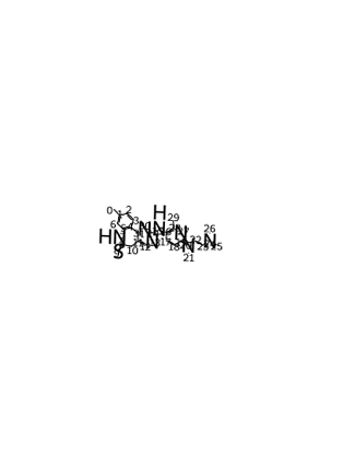 Cc1ccc2c(c1)NC(=S)Cc1cnc(Nc3ccc(N(C)CCN(C)C)nc3C)nc1-2